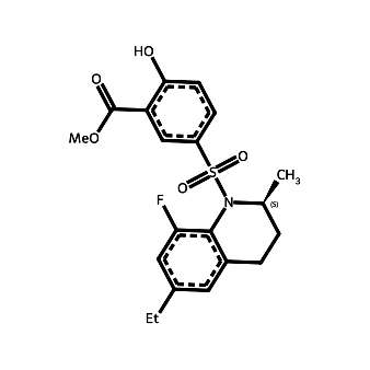 CCc1cc(F)c2c(c1)CC[C@H](C)N2S(=O)(=O)c1ccc(O)c(C(=O)OC)c1